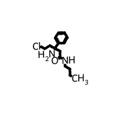 CCCCNC(=O)CC(N)(CCCl)c1ccccc1